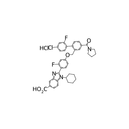 Cl.O=C(O)c1ccc2c(c1)nc(-c1ccc(OCc3cc(C(=O)N4CCCC4)ccc3-c3ccc(Cl)cc3F)cc1F)n2C1CCCCC1